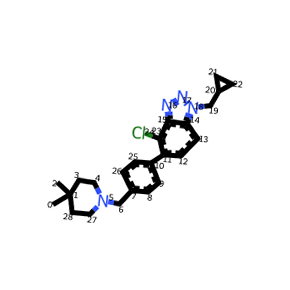 CC1(C)CCN(Cc2ccc(-c3ccc4c(nnn4CC4CC4)c3Cl)cc2)CC1